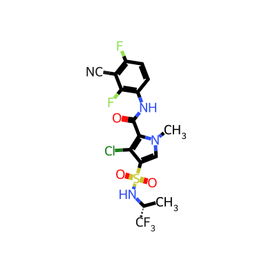 C[C@@H](NS(=O)(=O)c1cn(C)c(C(=O)Nc2ccc(F)c(C#N)c2F)c1Cl)C(F)(F)F